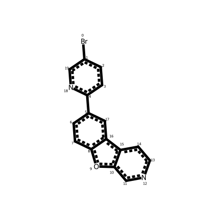 Brc1ccc(-c2ccc3oc4cnccc4c3c2)nc1